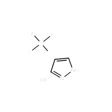 F.F[B-](F)(F)F.c1cn[nH]c1